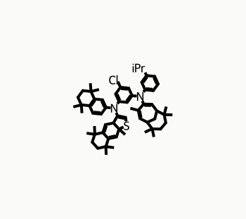 CC1=CC2CC(C=C1N(c1cccc(C(C)C)c1)c1cc(Cl)cc(N(C3=CSC4(C)C=C5C(=CC34)C(C)(C)CCC5(C)C)c3ccc4c(c3)C(C)(C)CCC4(C)C)c1)C(C)(C)CCC2(C)C